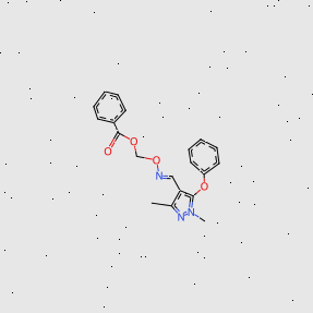 Cc1nn(C)c(Oc2ccccc2)c1/C=N/OCOC(=O)c1ccccc1